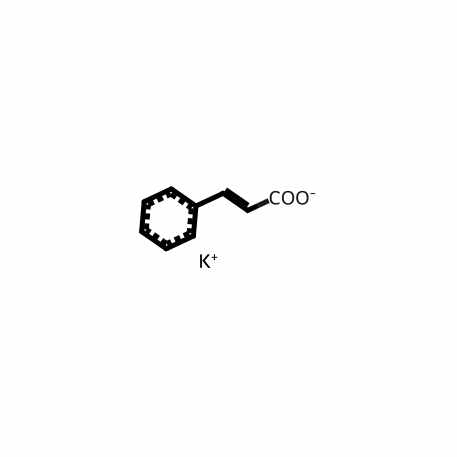 O=C([O-])C=Cc1ccccc1.[K+]